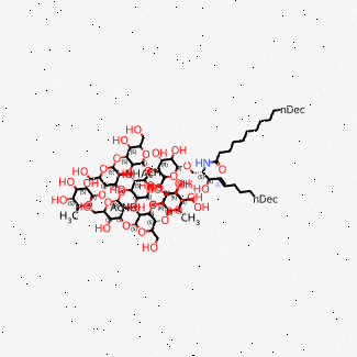 CCCCCCCCCCCCC/C=C/[C@@H](O)[C@H](CO[C@@H]1OC(CO)[C@@H](O[C@@H]2OC(CO)[C@H](O)[C@H](O[C@@H]3OC(CO)[C@@H](O[C@H]4OC(C)[C@@H](O)C(O)[C@@H]4O)[C@H](O[C@@H]4OC(CO)[C@H](O)[C@H](O[C@@H]5OC(CO)[C@@H](O[C@@H]6OC(CO)[C@H](O)[C@H](O)C6O[C@H]6OC(C)[C@@H](O)C(O)[C@@H]6O)[C@H](O[C@H]6OC(C)[C@@H](O)C(O)[C@@H]6O)C5NC(C)=O)C4O)C3NC(C)=O)C2O)[C@H](O)C1O)NC(=O)CCCCCCCCCCCCCCCCCCC